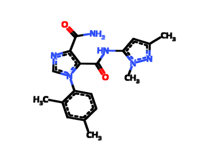 Cc1ccc(-n2cnc(C(N)=O)c2C(=O)Nc2cc(C)nn2C)c(C)c1